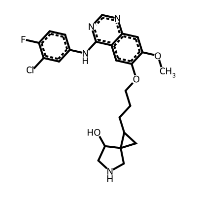 COc1cc2ncnc(Nc3ccc(F)c(Cl)c3)c2cc1OCCCC1CC12CNCC2O